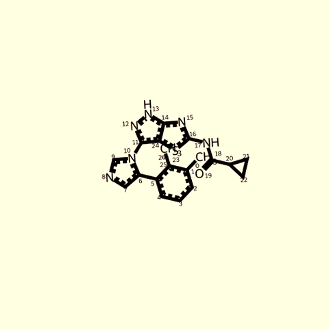 Cc1cccc(-c2cncn2-c2n[nH]c3nc(NC(=O)C4CC4)sc23)c1C